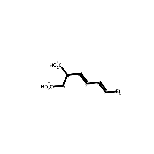 CCC=CC=CC(CC(=O)O)C(=O)O